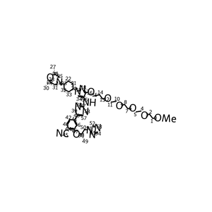 COCCOCCOCCOCCOCCCOc1nn([C@H]2CC[C@H](N3C[C@@H](C)O[C@@H](C)C3)CC2)cc1Nc1ncc(-c2ccc(C#N)c(O[C@@H](C)Cn3cncn3)c2)cn1